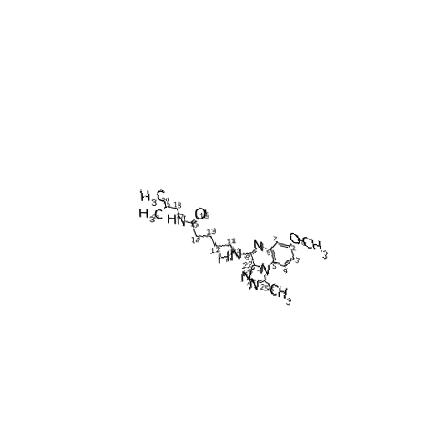 COc1ccc2c(c1)nc(NCCCCC(=O)NCC(C)C)c1nnc(C)n12